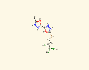 Cc1nnc(-c2nnc(SCCC(F)=C(F)F)o2)o1